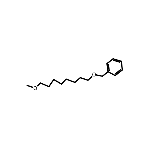 COCCCCCCCCOCc1ccccc1